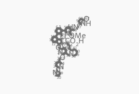 COc1nc(-c2cccc(-c3cccc4c3CC[C@@H]4Oc3nc(OCc4ccc(-n5cccn5)nc4)c(CN4CCCCC4CCCC(=O)O)cc3Cl)c2Cl)ccc1CNC[C@@H]1CCC(=O)N1